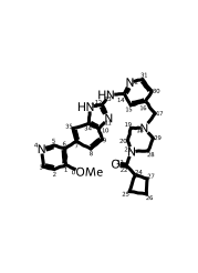 COc1ccncc1-c1ccc2nc(Nc3cc(CN4CCN(C(=O)C5CCC5)CC4)ccn3)[nH]c2c1